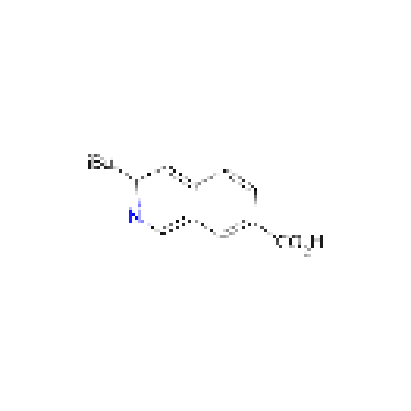 CCC(C)c1cc2ccc(C(=O)O)cc2cn1